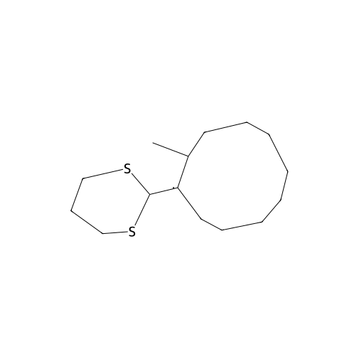 CC1CCCCCCCC[C]1C1SCCCS1